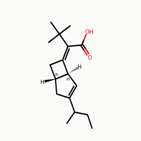 CCC(C)C1=C[C@@H]2C(=C(C(=O)O)C(C)(C)C)C[C@H]2C1